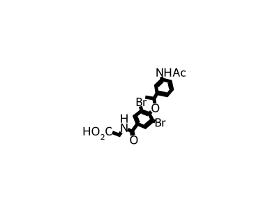 CC(=O)Nc1cccc(C(C)Oc2c(Br)cc(C(=O)NCC(=O)O)cc2Br)c1